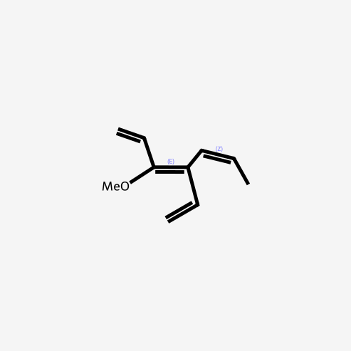 C=CC(/C=C\C)=C(/C=C)OC